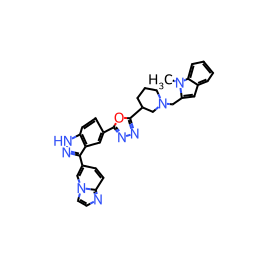 Cn1c(CN2CCCC(c3nnc(-c4ccc5[nH]nc(-c6ccc7nccn7c6)c5c4)o3)C2)cc2ccccc21